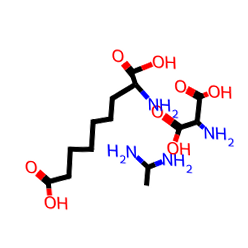 CC(N)N.NC(C(=O)O)C(=O)O.NC(CCCCCCC(=O)O)C(=O)O